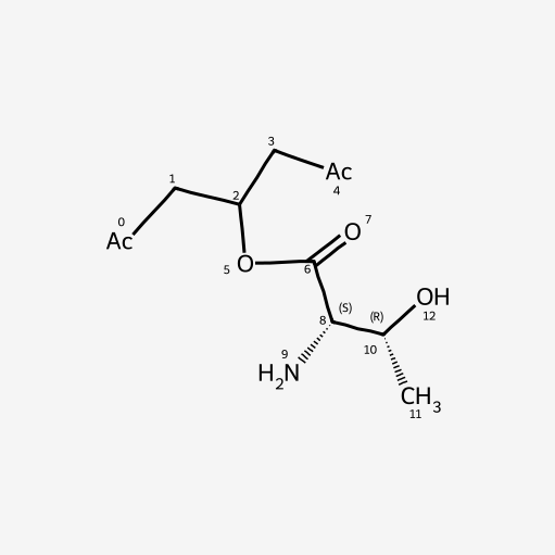 CC(=O)CC(CC(C)=O)OC(=O)[C@@H](N)[C@@H](C)O